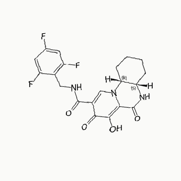 O=C(NCc1c(F)cc(F)cc1F)c1cn2c(c(O)c1=O)C(=O)N[C@H]1CCCC[C@H]12